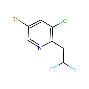 FC(F)Cc1ncc(Br)cc1Cl